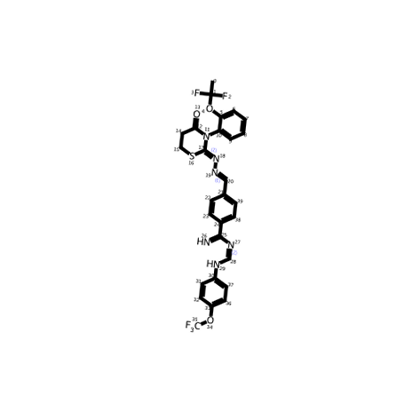 CC(F)(F)Oc1ccccc1N1C(=O)CCS/C1=N\N=C\c1ccc(C(=N)/N=C\Nc2ccc(OC(F)(F)F)cc2)cc1